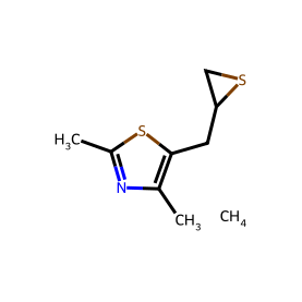 C.Cc1nc(C)c(CC2CS2)s1